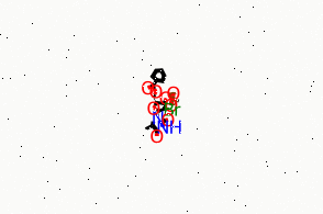 Cc1cn([C@@H]2O[C@H](COC(=O)c3ccccc3)C(OS(C)(=O)=O)C2Br)c(=O)[nH]c1=O